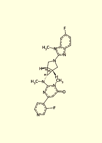 CN(c1nc(-c2ccncc2F)cc(=O)n1C)[C@@H]1[C@@H]2CN(c3nc4ccc(F)cc4n3C)C[C@@H]21